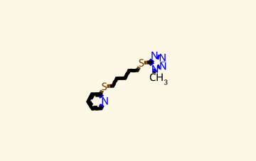 Cn1nnnc1SCCCCCSc1ccccn1